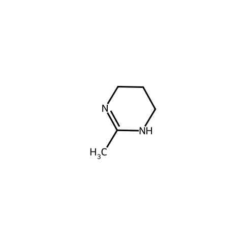 CC1=NCCCN1